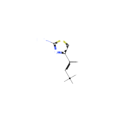 CC(C)(/C=C(\[C]=O)c1csc(N)n1)C(=O)O